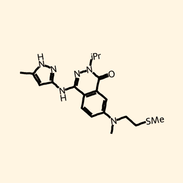 CSCCN(C)c1ccc2c(Nc3cc(C)[nH]n3)nn(C(C)C)c(=O)c2c1